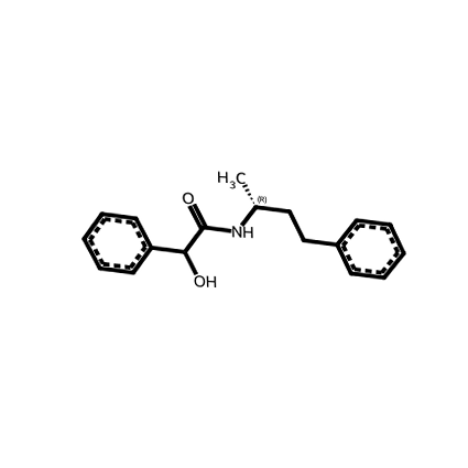 C[C@H](CCc1ccccc1)NC(=O)C(O)c1ccccc1